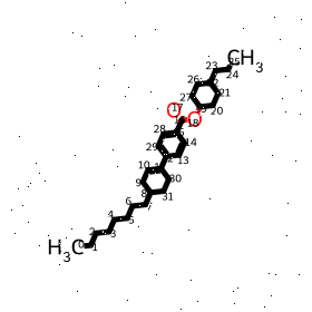 CCCCCCCCC1CC=C(c2ccc(C(=O)OC3CCC(CCC)CC3)cc2)CC1